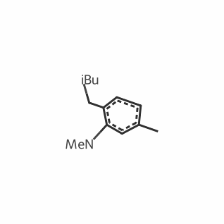 CCC(C)Cc1ccc(C)cc1NC